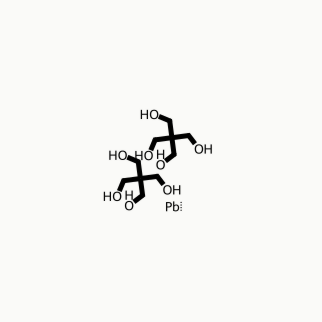 OCC(CO)(CO)CO.OCC(CO)(CO)CO.[Pb]